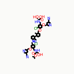 Cc1c(COc2cc(OCc3cncc(C#N)c3)c(CN[C@@H](CO)C(=O)O)cc2Cl)cccc1-c1cccc2c1cnn2Cc1cc(OCc2cncc(C#N)c2)c(CNC(CO)C(=O)OC(C)C)cc1Cl